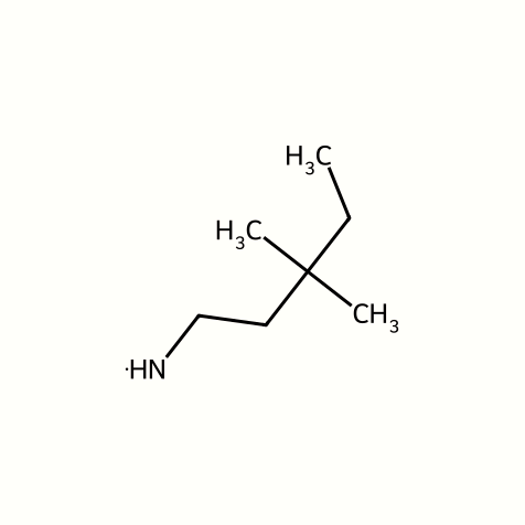 CCC(C)(C)CC[NH]